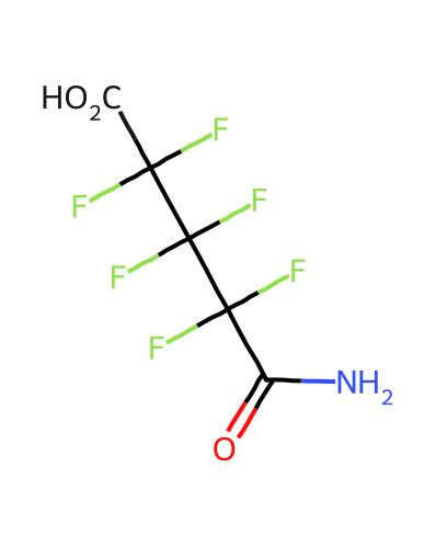 NC(=O)C(F)(F)C(F)(F)C(F)(F)C(=O)O